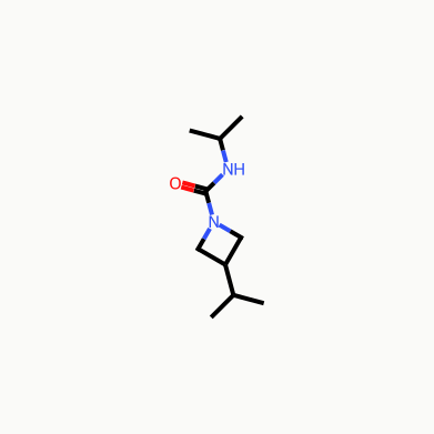 CC(C)NC(=O)N1CC(C(C)C)C1